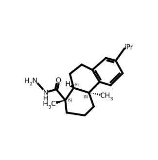 CC(C)c1ccc2c(c1)CC[C@H]1[C@@](C)(C(=O)NN)CCC[C@]21C